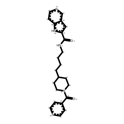 O=C(NCCCCC1CCN(C(=O)c2ccncc2)CC1)c1cc2cnccc2[nH]1